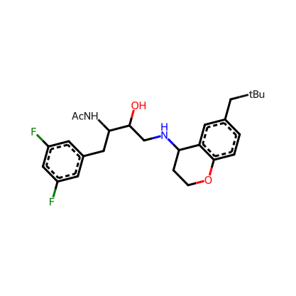 CC(=O)NC(Cc1cc(F)cc(F)c1)C(O)CNC1CCOc2ccc(CC(C)(C)C)cc21